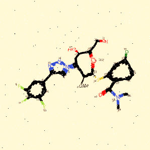 CO[C@H]1C(n2cc(-c3cc(F)c(F)c(F)c3)nn2)[C@@H](O)C(CO)O[C@@H]1Sc1cc(Cl)ccc1C(=O)N(C)C